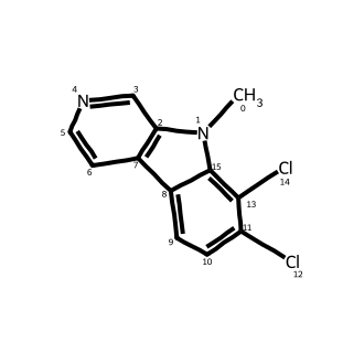 Cn1c2cnccc2c2ccc(Cl)c(Cl)c21